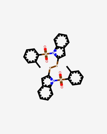 Cc1ccccc1S(=O)(=O)n1c(SSc2cc3ccccc3n2S(=O)(=O)c2ccccc2C)cc2ccccc21